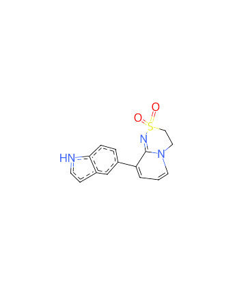 O=S1(=O)CCN2C=CC=C(c3ccc4[nH]ccc4c3)C2=N1